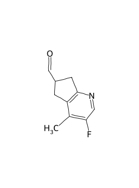 Cc1c(F)cnc2c1CC(C=O)C2